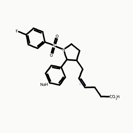 O=C(O)CC/C=C\CC1CCN(S(=O)(=O)c2ccc(F)cc2)C1c1ccccc1.[NaH]